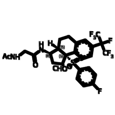 CC(=O)NCC(=O)N[C@@H]1CC(C=O)[C@]2(S(=O)(=O)c3ccc(F)cc3)c3ccc(C(F)(C(F)(F)F)C(F)(F)F)cc3CC[C@@H]12